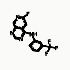 Fc1cc2c(Nc3cccc(C(F)(F)F)c3)ncnc2cn1